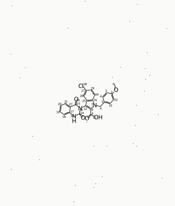 COc1ccc(Cn2c(C(=O)O)c(-n3c(=O)[nH]c4ccccc4c3=O)c3cc(Cl)ccc32)cc1